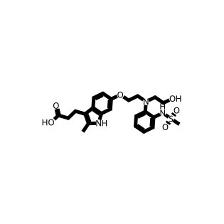 Cc1[nH]c2cc(OCCN(CCO)c3ccccc3NS(C)(=O)=O)ccc2c1CCC(=O)O